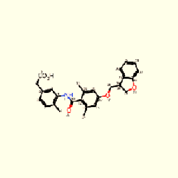 Cc1ccc(CC(=O)O)cc1NC(=O)c1c(C)cc(OC[C@@H]2COc3ccccc32)cc1C